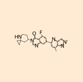 Cc1cc(-c2cc(F)c3c(=O)n(C4CCNC5(CC5)C4)cnc3c2)nc2cn(C)nc12